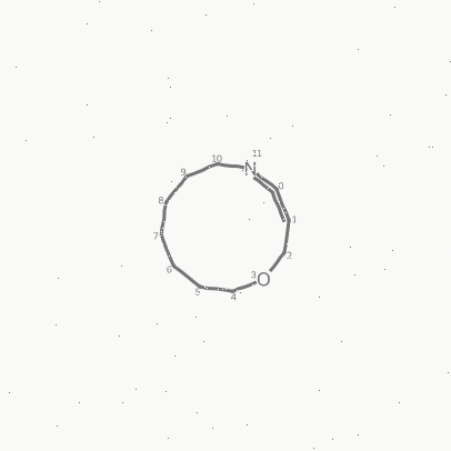 C1=CCOCCCCCCCN=1